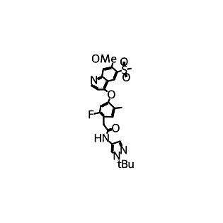 COc1cc2nccc(Oc3cc(F)c(CC(=O)Nc4cnn(C(C)(C)C)c4)cc3C)c2cc1S(C)(=O)=O